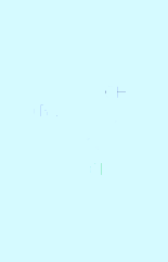 Cc1ccc(Cl)cc1CC(C)(C)C